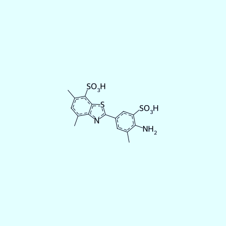 Cc1cc(-c2nc3c(C)cc(C)c(S(=O)(=O)O)c3s2)cc(S(=O)(=O)O)c1N